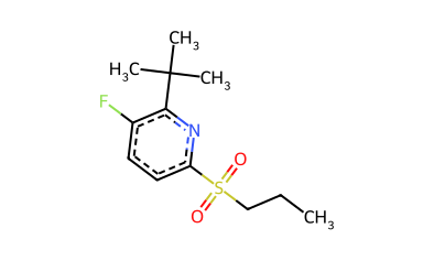 CCCS(=O)(=O)c1ccc(F)c(C(C)(C)C)n1